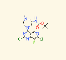 CN1CCN(c2nc(Cl)nc3c(F)c(Cl)ncc23)CC(NC(=O)OC(C)(C)C)C1